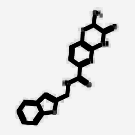 CC1Sc2ccc(C(=O)NCc3cc4ccccc4o3)nc2NC1=O